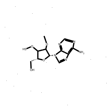 COC1C(OS)[C@@H](CO)O[C@H]1n1cnc2c(N)ncnc21